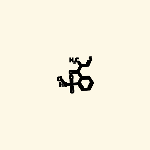 CC([C]=S)C(=O)c1ccccc1S(=O)(=O)NCl